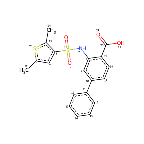 Cc1cc(S(=O)(=O)Nc2cc(-c3ccccc3)ccc2C(=O)O)c(C)s1